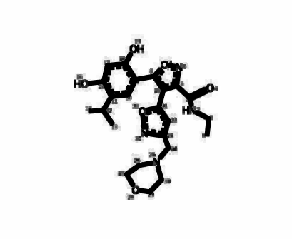 CCNC(=O)c1noc(-c2cc(C(C)C)c(O)cc2O)c1-c1cc(CN2CCOCC2)no1